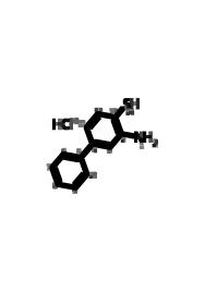 Cl.Nc1cc(-c2ccccc2)ccc1S